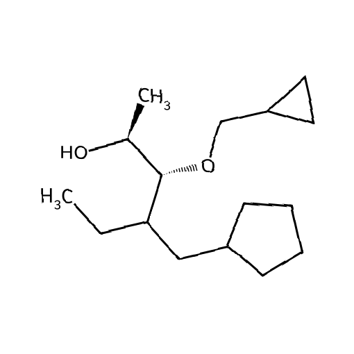 CCC(CC1CCCC1)[C@@H](OCC1CC1)[C@H](C)O